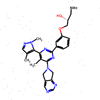 CNC[C@@H](O)COc1cccc(-c2nc(-c3c(C)cnn3C)c(C)c(N3Cc4cncnc4C3)n2)c1